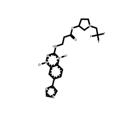 O=C(CCNc1n[n+]([O-])c2cc(-c3cnco3)ccc2[n+]1[O-])OC1CCN(CC(F)(F)F)C1